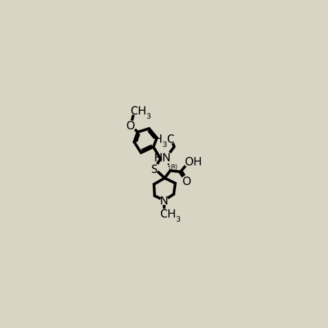 CCN[C@H](C(=O)O)C1(SCc2ccc(OC)cc2)CCN(C)CC1